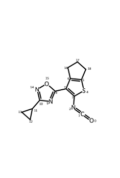 O=C=Nc1sc2c(c1-c1nc(C3CC3)no1)CCC2